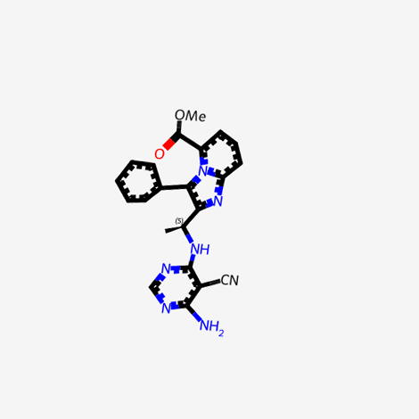 COC(=O)c1cccc2nc([C@H](C)Nc3ncnc(N)c3C#N)c(-c3ccccc3)n12